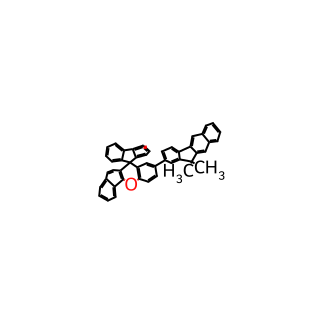 CC1(C)c2cc(-c3ccc4c(c3)C3(c5ccccc5-c5ccccc53)c3ccc5ccccc5c3O4)ccc2-c2cc3ccccc3cc21